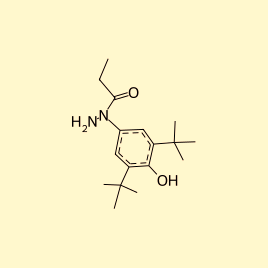 CCC(=O)N(N)c1cc(C(C)(C)C)c(O)c(C(C)(C)C)c1